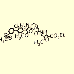 CCOC(=O)c1cc(CNC(=O)CN2CCCC3(C2)OC(=O)C(c2cc(Cl)c(-c4cccc(S(C)(=O)=O)c4)cc2C)=C3N)c(C)o1